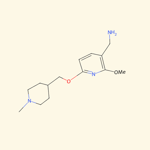 COc1nc(OCC2CCN(C)CC2)ccc1CN